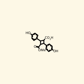 COC(=O)C1C(c2ccc(O)cc2)C(C(=O)O)C1c1ccc(O)cc1